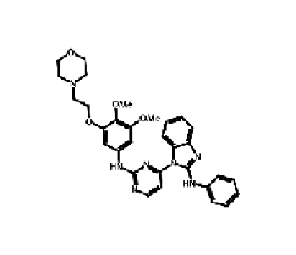 COc1cc(Nc2nccc(-n3c(Nc4ccccc4)nc4ccccc43)n2)cc(OCCN2CCOCC2)c1OC